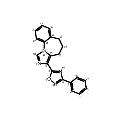 c1ccc(-c2noc(-c3ncn4c3CCCc3ccccc3-4)n2)cc1